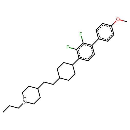 CCC[SiH]1CCC(CCC2CCC(c3ccc(-c4ccc(OC)cc4)c(F)c3F)CC2)CC1